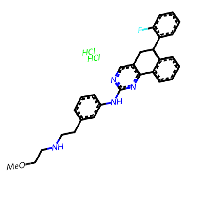 COCCNCCc1cccc(Nc2ncc3c(n2)-c2ccccc2C(c2ccccc2F)C3)c1.Cl.Cl